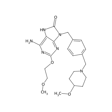 COCCOc1nc(N)c2[nH]c(=O)n(Cc3ccc(CN4CCC(OC)CC4)cc3)c2n1